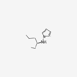 CCCC(CC)Nn1[c]ccc1